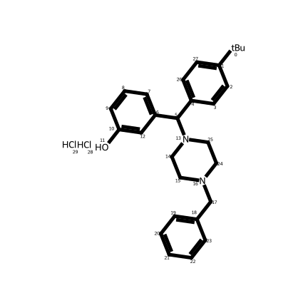 CC(C)(C)c1ccc(C(c2cccc(O)c2)N2CCN(Cc3ccccc3)CC2)cc1.Cl.Cl